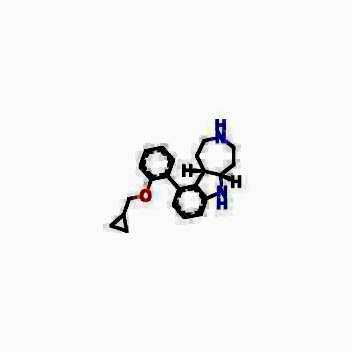 c1ccc(-c2cccc3c2[C@@H]2CCNCC[C@@H]2N3)c(OCC2CC2)c1